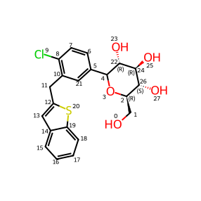 OC[C@H]1OC(c2ccc(Cl)c(Cc3cc4ccccc4s3)c2)[C@H](O)[C@@H](O)[C@@H]1O